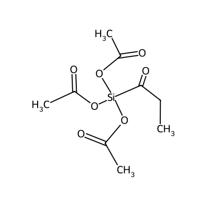 CCC(=O)[Si](OC(C)=O)(OC(C)=O)OC(C)=O